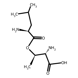 CC(C)C[C@H](N)C(=O)O[C@H](C)[C@H](N)C(=O)O